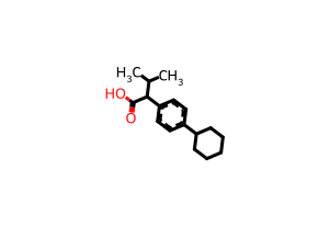 CC(C)C(C(=O)O)c1ccc(C2CCCCC2)cc1